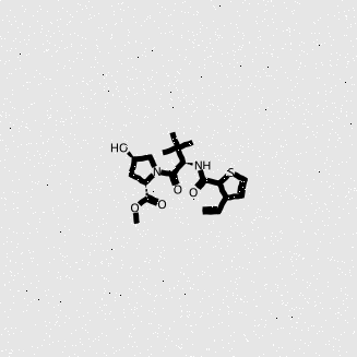 C=CC1C=CSC1C(=O)N[C@H](C(=O)N1C[C@H](O)C[C@H]1C(=O)OC)C(C)(C)C